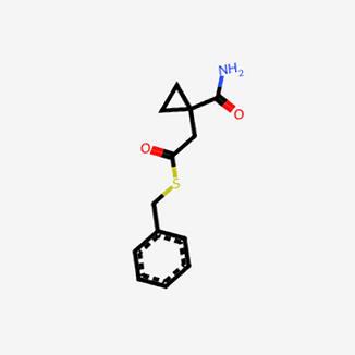 NC(=O)C1(CC(=O)SCc2ccccc2)CC1